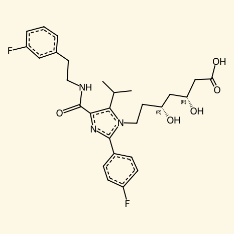 CC(C)c1c(C(=O)NCCc2cccc(F)c2)nc(-c2ccc(F)cc2)n1CC[C@@H](O)C[C@@H](O)CC(=O)O